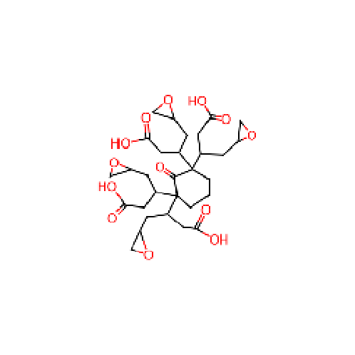 O=C(O)CC(CC1CO1)C1(C(CC(=O)O)CC2CO2)CCCC(C(CC(=O)O)CC2CO2)(C(CC(=O)O)CC2CO2)C1=O